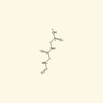 O=CNCC(=O)NCC(=O)O